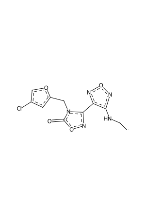 [CH2]CNc1nonc1-c1noc(=O)n1Cc1cc(Cl)co1